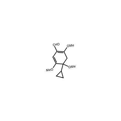 COC1=CC(C=O)=C(OC)CC1(OC)C1CC1